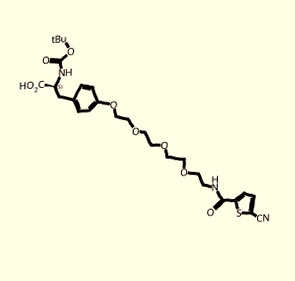 CC(C)(C)OC(=O)N[C@@H](Cc1ccc(OCCOCCOCCOCCNC(=O)c2ccc(C#N)s2)cc1)C(=O)O